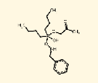 CCCCP(O)(CCCC)(OCC(C)=O)ONCc1ccccc1